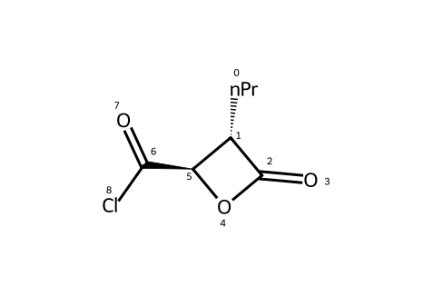 CCC[C@@H]1C(=O)O[C@H]1C(=O)Cl